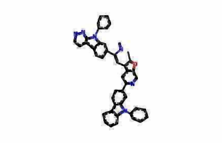 C=N/C(=C\c1c(C)oc2cnc(-c3ccc4c5ccccc5n(-c5ccccc5)c4c3)cc12)c1ccc2c3ccnnc3n(-c3ccccc3)c2c1